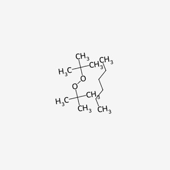 CC(C)(C)OOC(C)(C)C.CCCCCC